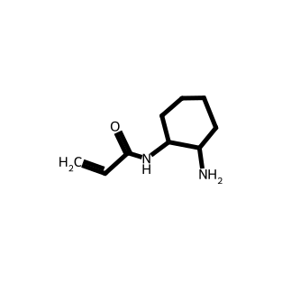 C=CC(=O)NC1CCCCC1N